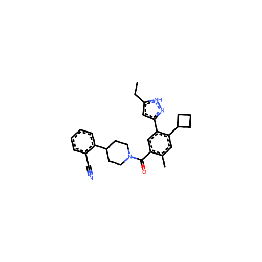 CCc1cc(-c2cc(C(=O)N3CCC(c4ccccc4C#N)CC3)c(C)cc2C2CCC2)n[nH]1